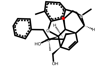 Cc1ccc2c3c1O[C@H]1[C@@]4(CO)C=C[C@@]5(C[C@@H]4[C@@](C)(O)Cc4ccccc4)[C@@H](C2)N(C)CC[C@]315